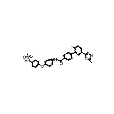 Cc1nnc(-c2ccc(C)c(-c3ccc(C(=O)Nc4ccc(Oc5ccc(NS(C)(=O)=O)cc5)cc4)cc3)c2)o1